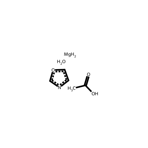 CC(=O)O.O.[MgH2].c1cocn1